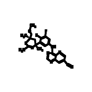 COC[C@@]1(C)C[C@@](C)(c2cc(Nc3ncnc4cc(C#N)cnc34)cc(F)c2F)N=C(N)S1